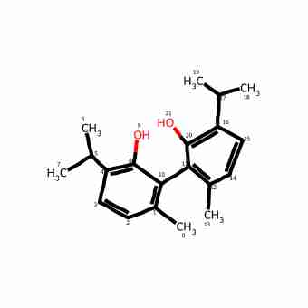 Cc1ccc(C(C)C)c(O)c1-c1c(C)ccc(C(C)C)c1O